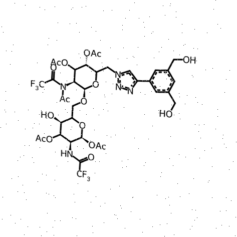 CC(=O)OC1[C@@H](O)C(CO[C@@H]2OC(Cn3cc(-c4cc(CO)cc(CO)c4)nn3)[C@@H](OC(C)=O)C(OC(C)=O)[C@@H]2N(C(C)=O)C(=O)C(F)(F)F)O[C@@H](OC(C)=O)[C@H]1NC(=O)C(F)(F)F